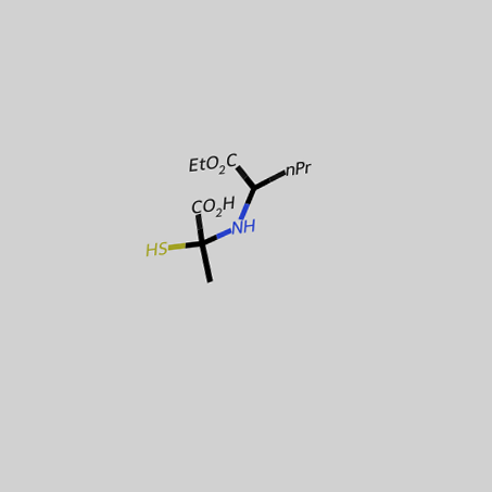 CCCC(NC(C)(S)C(=O)O)C(=O)OCC